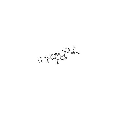 Cc1ccc(C(=O)NC2CC2)cc1-n1ncc(C(=O)c2cccc(C(=O)NC3CCCC3)c2)c1N